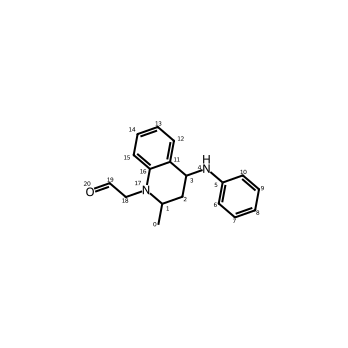 CC1CC(Nc2ccccc2)c2ccccc2N1CC=O